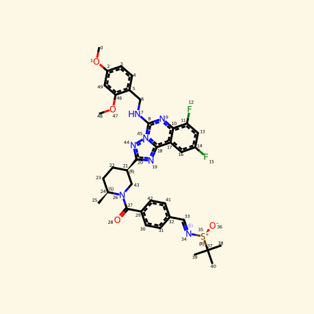 COc1ccc(CNc2nc3c(F)cc(F)cc3c3nc([C@@H]4CC[C@H](C)N(C(=O)c5ccc(/C=N/[S@@+]([O-])C(C)(C)C)cc5)C4)nn23)c(OC)c1